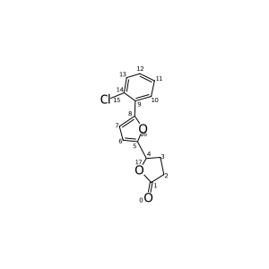 O=C1CCC(c2ccc(-c3ccccc3Cl)o2)O1